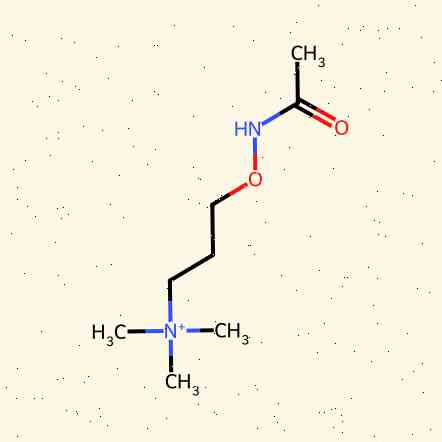 CC(=O)NOCCC[N+](C)(C)C